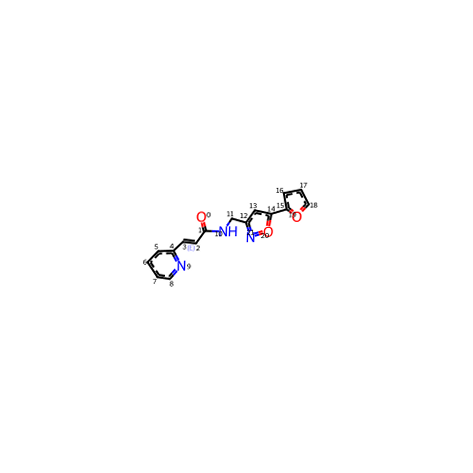 O=C(/C=C/c1ccccn1)NCc1cc(-c2ccco2)on1